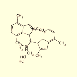 CC1=Cc2c(C)ccc(C)c2[CH]1[Zr]([CH]1C(C)=Cc2c(C)ccc(C)c21)[SiH](C)C.Cl.Cl